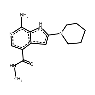 CNC(=O)c1cnc(N)c2[nH]c(N3CCCCC3)cc12